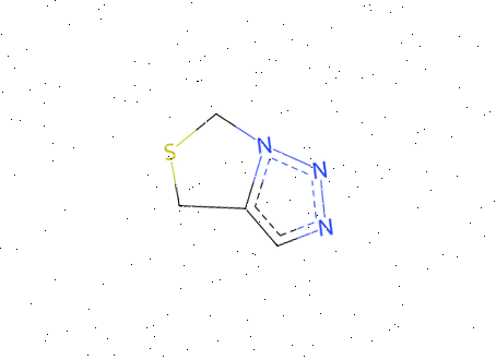 c1nnn2c1CSC2